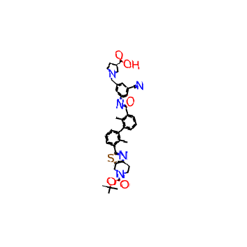 Cc1c(-c2nc3cc(CN4CC[C@@H](C(=O)O)C4)cc(C#N)c3o2)cccc1-c1cccc(-c2nc3c(s2)CN(C(=O)OC(C)(C)C)CC3)c1C